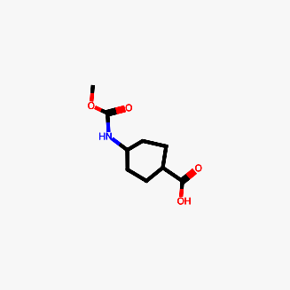 COC(=O)NC1CCC(C(=O)O)CC1